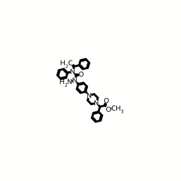 C=C(c1ccccc1)N(C(=O)N(N)c1ccc(N2CCN(C(C(=O)OC)c3ccccc3)CC2)cc1)c1ccccc1